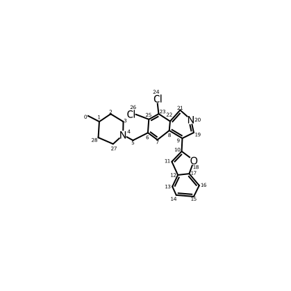 CC1CCN(Cc2cc3c(-c4cc5ccccc5o4)cncc3c(Cl)c2Cl)CC1